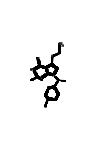 Cc1ccc([C@H](C)n2nc(OCC(F)(F)F)c3c(=O)[nH]c(C)nc32)cc1